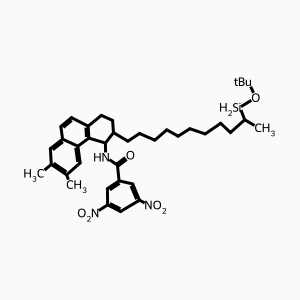 Cc1cc2ccc3c(c2cc1C)C(NC(=O)c1cc([N+](=O)[O-])cc([N+](=O)[O-])c1)C(CCCCCCCCCC(C)[SiH2]OC(C)(C)C)CC3